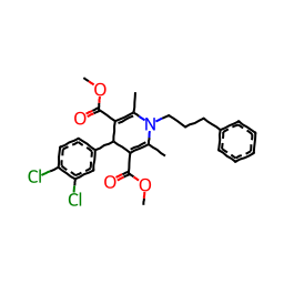 COC(=O)C1=C(C)N(CCCc2ccccc2)C(C)=C(C(=O)OC)C1c1ccc(Cl)c(Cl)c1